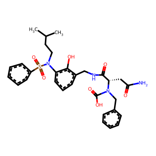 CC(C)CCN(c1cccc(CNC(=O)[C@H](CC(N)=O)N(Cc2ccccc2)C(=O)O)c1O)S(=O)(=O)c1ccccc1